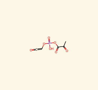 CC(=O)C(=O)OP(=O)(O)OC=C=O